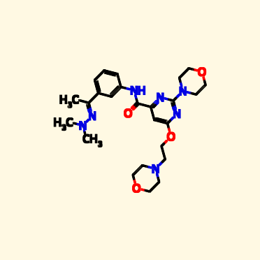 CC(=NN(C)C)c1cccc(NC(=O)c2cc(OCCN3CCOCC3)nc(N3CCOCC3)n2)c1